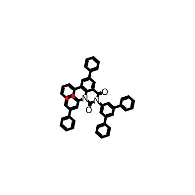 O=c1c2cc(-c3ccccc3)cc(-c3ccccc3)c2n(-c2cccc(-c3ccccc3)c2)c(=O)n1-c1cc(-c2ccccc2)cc(-c2ccccc2)c1